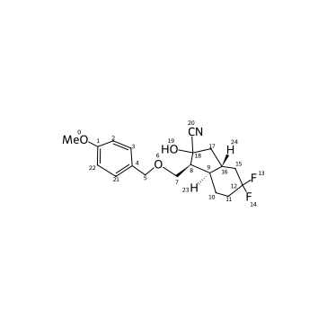 COc1ccc(COC[C@@H]2[C@@H]3CCC(F)(F)C[C@H]3CC2(O)C#N)cc1